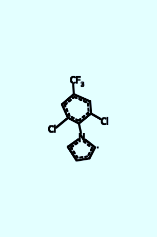 FC(F)(F)c1cc(Cl)c(-n2[c]ccc2)c(Cl)c1